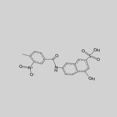 Cc1ccc(C(=O)Nc2ccc3c(O)cc(S(=O)(=O)O)cc3c2)cc1[N+](=O)[O-]